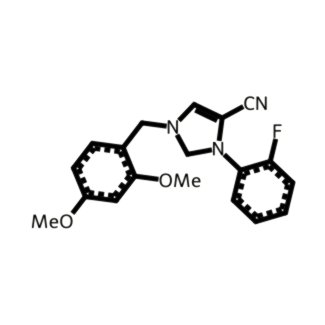 COc1ccc(CN2C=C(C#N)N(c3ccccc3F)C2)c(OC)c1